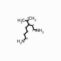 CC(C)C(CCN)CCCCN